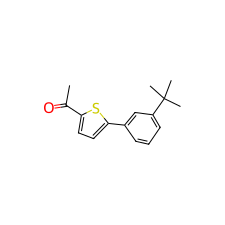 CC(=O)c1ccc(-c2cccc(C(C)(C)C)c2)s1